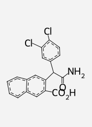 NC(=O)C(c1ccc(Cl)c(Cl)c1)c1cc2ccccc2cc1C(=O)O